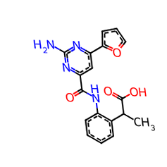 CC(C(=O)O)c1ccccc1NC(=O)c1cc(-c2ccco2)nc(N)n1